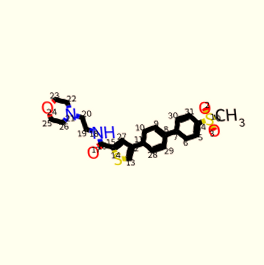 CS(=O)(=O)C1=CCC(C2=CCC(c3csc(C(=O)NCCN4CCOCC4)c3)C=C2)C=C1